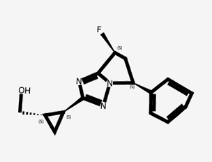 OC[C@H]1C[C@@H]1c1nc2n(n1)[C@H](c1ccccc1)C[C@@H]2F